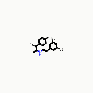 C=C(N/C=C/c1cc(CC)cc(CC)c1)C(CC)c1ccc(C)cc1